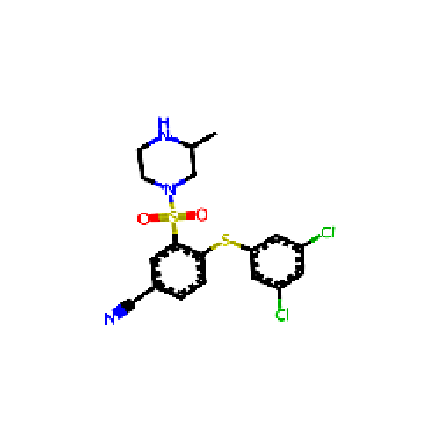 CC1CN(S(=O)(=O)c2cc(C#N)ccc2Sc2cc(Cl)cc(Cl)c2)CCN1